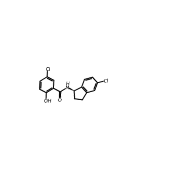 O=C(N[C@@H]1CCc2cc(Cl)ccc21)c1cc(Cl)ccc1O